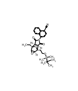 CC[C@]12O[C@](CCO[Si](C)(C)C(C)(C)C)([C@@H]3C(=O)N(c4ccc(C#N)c5ccccc45)C(=O)[C@@H]31)[C@H]1OC12